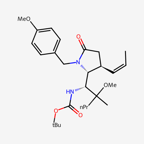 C/C=C\[C@@H]1CC(=O)N(Cc2ccc(OC)cc2)[C@H]1[C@@H](NC(=O)OC(C)(C)C)C(C)(CCC)OC